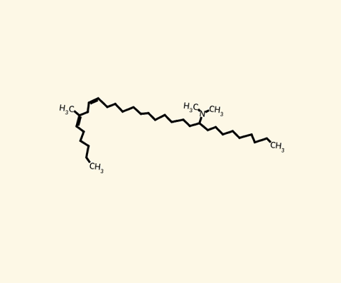 CCCCC/C=C(/C)C/C=C\CCCCCCCCCCCC(CCCCCCCCC)N(C)C